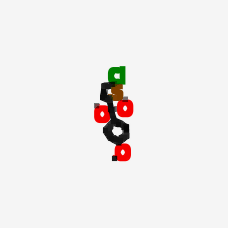 COc1ccc(C(OC)(OC)c2ccc(Cl)s2)cc1